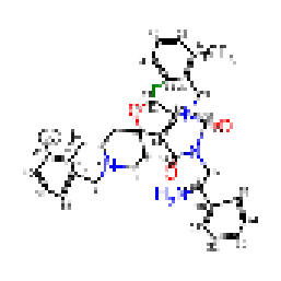 Cc1c(CN2CCC3(CC2)OCc2c3c(=O)n(C[C@H](N)c3ccccc3)c(=O)n2Cc2c(F)cccc2C(F)(F)F)cccc1C(=O)O